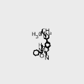 CN(C)n1cc(-c2ccc(C[C@@H](C#N)NC(=O)C3(N)CCCCC3)cc2)cn1